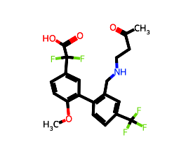 COc1ccc(C(F)(F)C(=O)O)cc1-c1ccc(C(F)(F)F)cc1CNCCC(C)=O